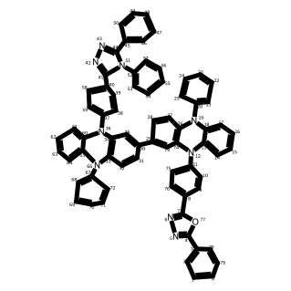 c1ccc(-c2nnc(-c3ccc(N4c5ccccc5N(c5ccccc5)c5ccc(-c6ccc7c(c6)N(c6ccc(-c8nnc(-c9ccccc9)n8-c8ccccc8)cc6)c6ccccc6N7c6ccccc6)cc54)cc3)o2)cc1